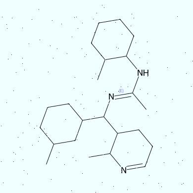 C/C(=N\C(C1CCCC(C)C1)C1CCC=NC1C)NC1CCCCC1C